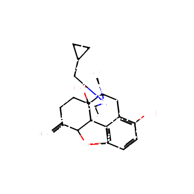 C=C1CCC2(O)C3Cc4c(O)ccc5c4[C@@]2(CC[N@+]3(C)CC2CC2)C1O5